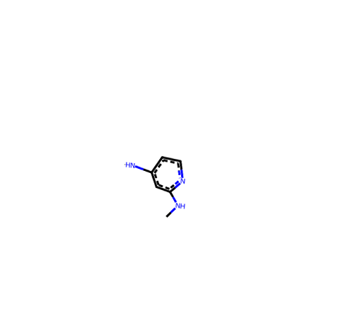 CNc1cc([NH])ccn1